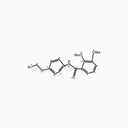 COc1cccc(C(=O)Nc2ccc(CCC(C)=O)cc2)c1OC